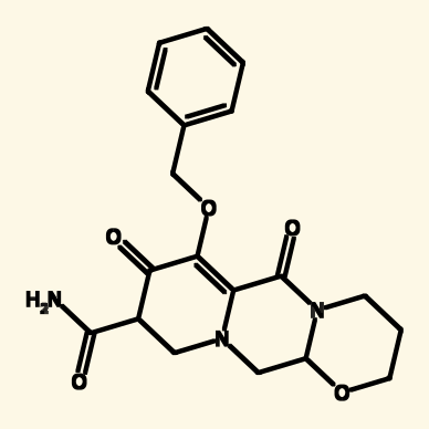 NC(=O)C1CN2CC3OCCCN3C(=O)C2=C(OCc2ccccc2)C1=O